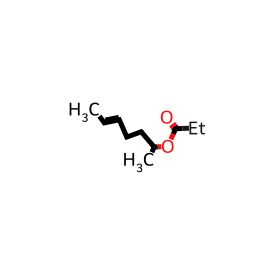 CC=CCCC(C)OC(=O)CC